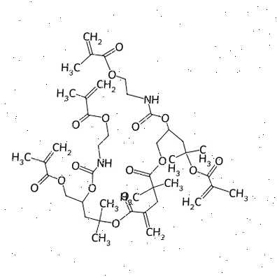 C=C(C)C(=O)OCCNC(=O)OC(COC(=O)C(C)(C)CC(=C)C(=O)OC(C)(C)CC(COC(=O)C(=C)C)OC(=O)NCCOC(=O)C(=C)C)CC(C)(C)OC(=O)C(=C)C